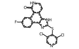 O=c1[nH]ccc2c3[nH]c(Sc4c(Cl)cncc4Cl)nc3c3ccc(F)cc3c12